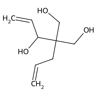 C=CCC(CO)(CO)C(O)C=C